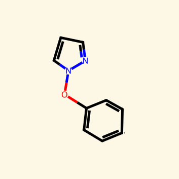 [c]1ccc(On2cccn2)cc1